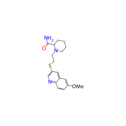 COc1ccc2ncc(SCCN3CC[CH]CC3C(N)=O)cc2c1